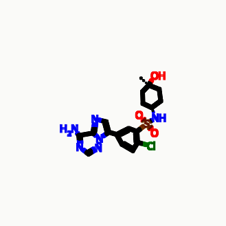 C[C@]1(O)CC[C@H](NS(=O)(=O)c2cc(-c3cnc4c(N)ncnn34)ccc2Cl)CC1